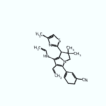 C=CNc1c(C=C)c(C2=CCCC(C#N)=C2)n2c1C(c1nc(C)cs1)C(C)(C)C2